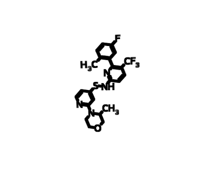 Cc1ccc(F)cc1-c1nc(NSc2ccnc(N3CCOCC3C)c2)ccc1C(F)(F)F